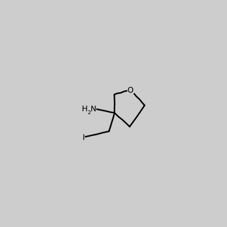 NC1(CI)CCOC1